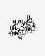 CCNC(=O)[C@H](NC(=O)C1(c2ccc3[nH]c([C@@H](NC(=O)OC)[C@H](c4ccccc4Cl)C4(C)CC4)nc3c2)COC1)C1CCC1